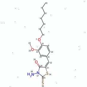 CCCCCCCOc1ccc(C=C2SC(=S)N(N)C2=O)cc1OC